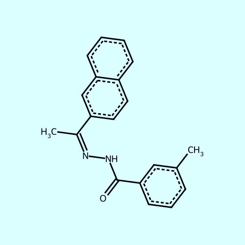 C/C(=N/NC(=O)c1cccc(C)c1)c1ccc2ccccc2c1